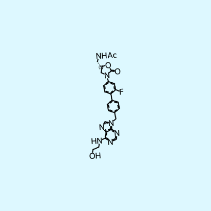 CC(=O)NC[C@H]1CN(c2ccc(-c3ccc(Cn4cnc5c(NCCO)ncnc54)cc3)c(F)c2)C(=O)O1